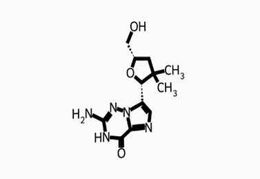 CC1(C)C[C@@H](CO)O[C@H]1c1cnc2c(=O)[nH]c(N)nn12